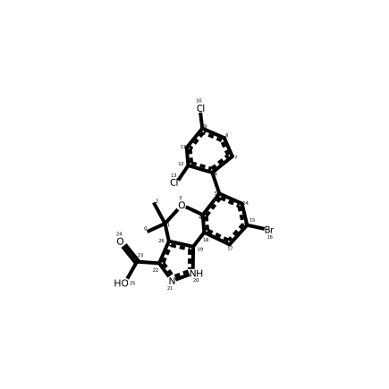 CC1(C)Oc2c(-c3ccc(Cl)cc3Cl)cc(Br)cc2-c2[nH]nc(C(=O)O)c21